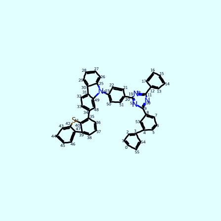 c1ccc(-c2cccc(-c3nc(-c4ccccc4)nc(-c4ccc(-n5c6ccccc6c6ccc(-c7cccc8c7sc7ccccc78)cc65)cc4)n3)c2)cc1